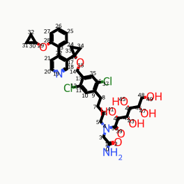 NC(=O)CN(CCCCc1cc(Cl)c(COC2(c3cnccc3-c3ccccc3OC3CC3)CC2)cc1Cl)C(=O)[C@@H](O)[C@@H](O)[C@H](O)[C@@H](O)CO